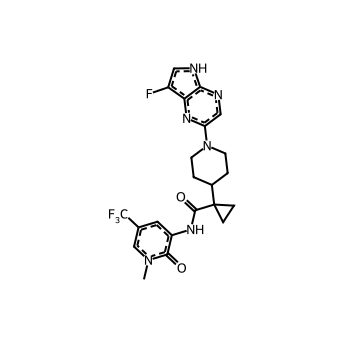 Cn1cc(C(F)(F)F)cc(NC(=O)C2(C3CCN(c4cnc5[nH]cc(F)c5n4)CC3)CC2)c1=O